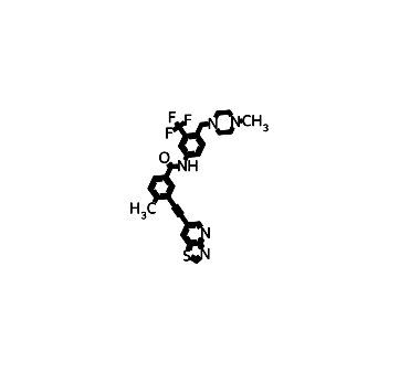 Cc1ccc(C(=O)Nc2ccc(CN3CCN(C)CC3)c(C(F)(F)F)c2)cc1C#Cc1cnc2ncsc2c1